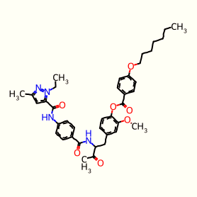 CCCCCCCOc1ccc(C(=O)Oc2ccc(CC(NC(=O)c3ccc(NC(=O)c4cc(C)nn4CC)cc3)C(C)=O)cc2OC)cc1